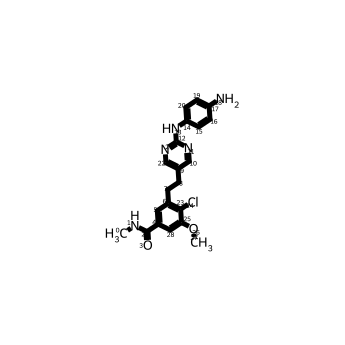 CNC(=O)c1cc(CCc2cnc(Nc3ccc(N)cc3)nc2)c(Cl)c(OC)c1